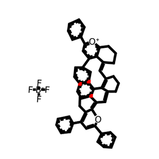 C(=C1CCCC(C=C2CCCc3[o+]c(-c4ccccc4)cc(-c4ccccc4)c32)=C1c1ccccc1)C1=C2OC(c3ccccc3)=CC(c3ccccc3)=C2CCC1.F[B-](F)(F)F